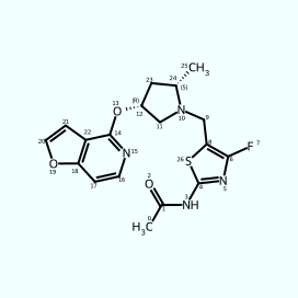 CC(=O)Nc1nc(F)c(CN2C[C@H](Oc3nccc4occc34)C[C@@H]2C)s1